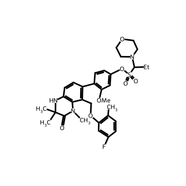 CCC(N1CCOCC1)S(=O)(=O)Oc1ccc(-c2ccc3c(c2COc2cc(F)ccc2C)N(C)C(=O)C(C)(C)N3)c(OC)c1